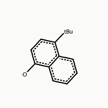 CC(C)(C)c1ccc([O])c2ccccc12